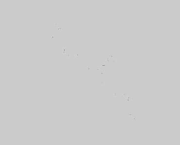 C=CC(=O)OCOc1ccc(OC(=O)C2CCC(C(=O)Oc3ccc(OC(=O)C4CCC(C(=O)Oc5ccc(OCC(COC(=O)C=C)OC(=O)C=C)cc5)CC4)c4nc(-c5ccc(C#N)cc5)sc34)CC2)cc1